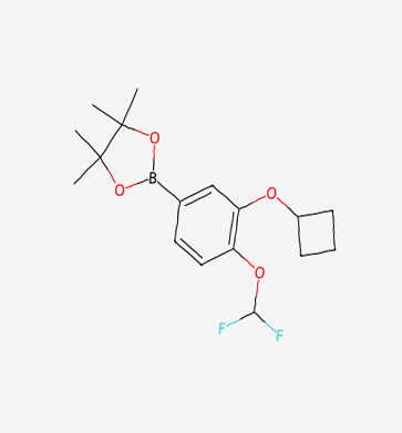 CC1(C)OB(c2ccc(OC(F)F)c(OC3CCC3)c2)OC1(C)C